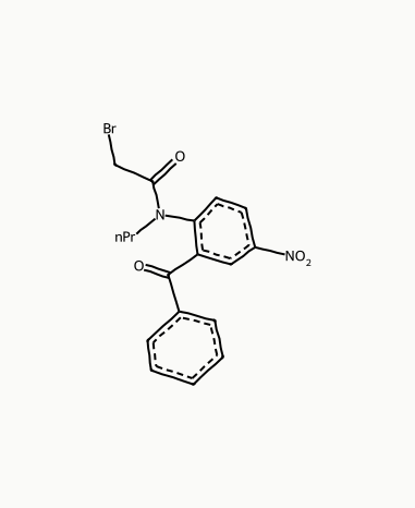 CCCN(C(=O)CBr)c1ccc([N+](=O)[O-])cc1C(=O)c1ccccc1